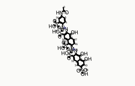 CC(=O)Nc1ccc(/N=N/c2c(S(=O)(=O)O)cc3c(S(=O)(=O)O)c(/N=N/c4c(S(=O)(=O)O)cc5cc(S(=O)(=O)O)cc(O)c5c4O)ccc3c2O)c(S(=O)(=O)O)c1